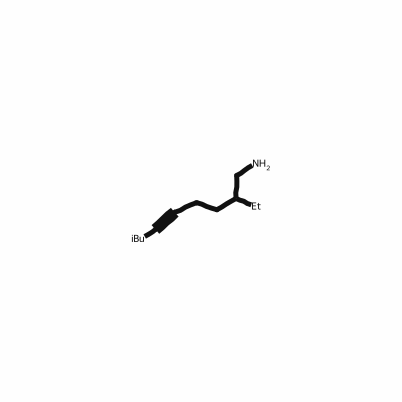 CCC(C)C#CCCC(CC)CN